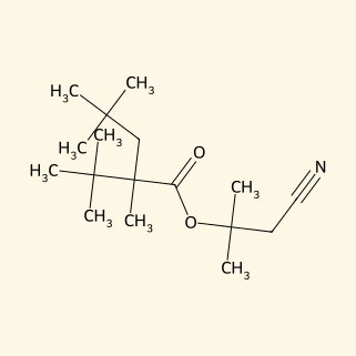 CC(C)(C)CC(C)(C(=O)OC(C)(C)CC#N)C(C)(C)C